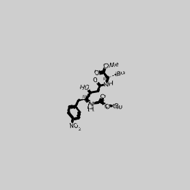 CCC(C)[C@H](NC(=O)CC(O)[C@H](Cc1ccc([N+](=O)[O-])cc1)NC(=O)OC(C)(C)C)C(=O)OC